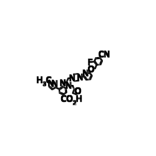 Cn1ccc(-c2cc(C(=O)O)cc3c2nc(CN2CCN(c4cccc(OCc5ccc(C#N)cc5F)n4)CC2)n3C[C@@H]2CCO2)n1